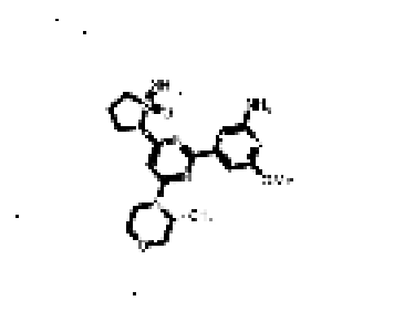 COc1cc(-c2nc(C3CCCS3(=N)=O)cc(N3CCOC[C@H]3C)n2)cc(N)n1